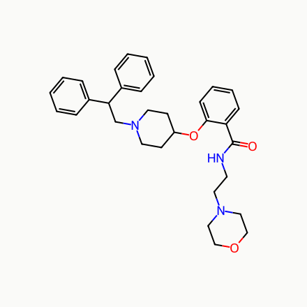 O=C(NCCN1CCOCC1)c1ccccc1OC1CCN(CC(c2ccccc2)c2ccccc2)CC1